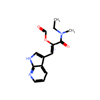 CCN(C)C(=O)/C(=C/c1c[nH]c2ncccc12)OC=O